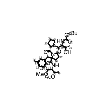 COC(=O)[C@@H](NC(=O)C1(Cc2cccc(C)c2)CCCN1C(=O)[C@@H]1CCCN1C(=O)[C@@H](NC(=O)OC(C)(C)C)[C@@H](C)O)[C@@H](C)OC(C)=O